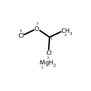 CC(Cl)OCl.[MgH2]